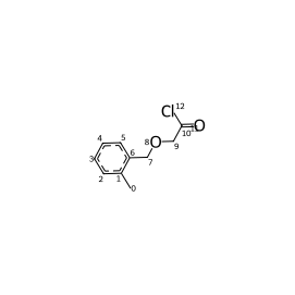 Cc1ccccc1COCC(=O)Cl